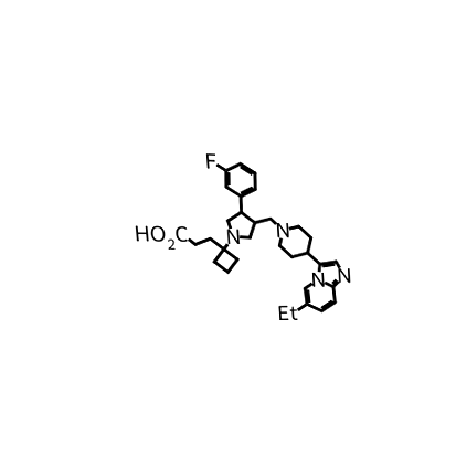 CCc1ccc2ncc(C3CCN(CC4CN(C5(CCC(=O)O)CCC5)CC4c4cccc(F)c4)CC3)n2c1